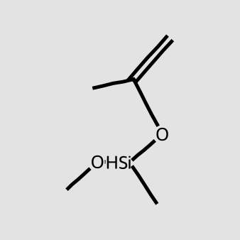 C=C(C)O[SiH](C)OC